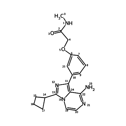 CNC(=O)COc1cccc(-c2nc(C3CCC3)n3ccnc(N)c23)c1